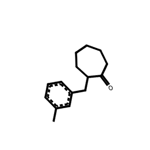 Cc1cccc(CC2CCCCCC2=O)c1